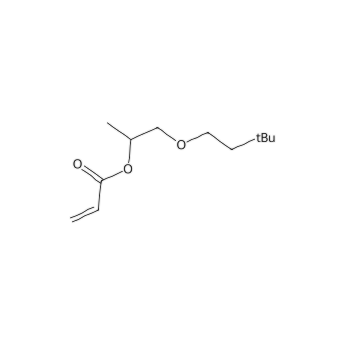 C=CC(=O)OC(C)COCCC(C)(C)C